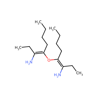 CCCC/C(O/C(CCCC)=C(\N)CC)=C(/N)CC